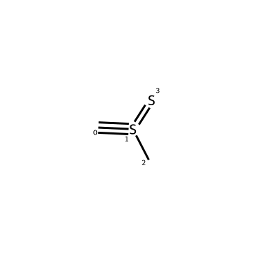 C#S(C)=S